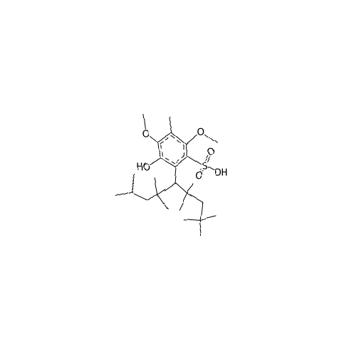 COc1c(C)c(OC)c(S(=O)(=O)O)c(C(C(C)(C)CC(C)C)C(C)(C)CC(C)(C)C)c1O